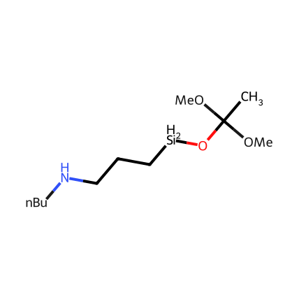 CCCCNCCC[SiH2]OC(C)(OC)OC